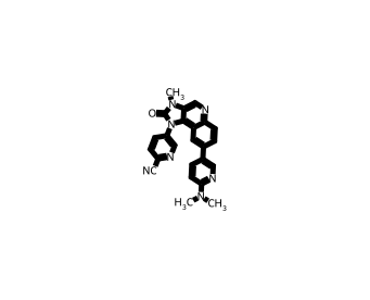 CN(C)c1ccc(-c2ccc3ncc4c(c3c2)n(-c2ccc(C#N)nc2)c(=O)n4C)cn1